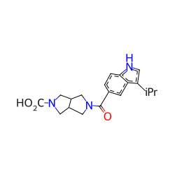 CC(C)c1c[nH]c2ccc(C(=O)N3CC4CN(C(=O)O)CC4C3)cc12